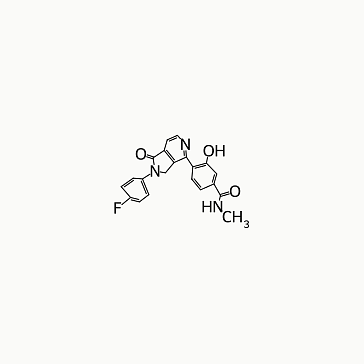 CNC(=O)c1ccc(-c2nccc3c2CN(c2ccc(F)cc2)C3=O)c(O)c1